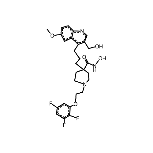 COc1ccc2ncc(CO)c(CCCC3(C(=O)NO)CCN(CCOc4cc(F)cc(F)c4F)CC3)c2c1